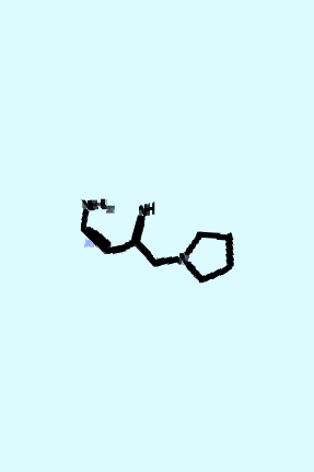 N=C(/C=C\N)CN1CCCC1